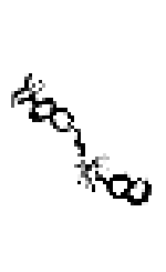 CCn1c(SCCCN2CCc3ccc(-c4ncc(C)o4)cc3CC2)nnc1-c1ccc2ncccc2c1